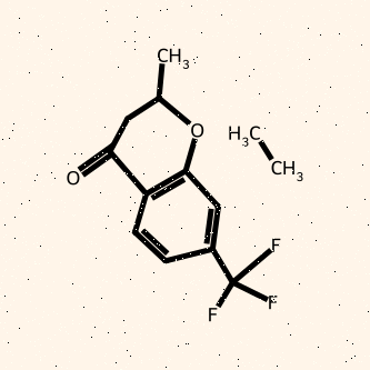 CC.CC1CC(=O)c2ccc(C(F)(F)F)cc2O1